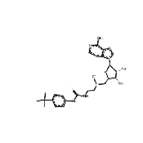 CC(C)(C)c1ccc(NC(=O)NCC[S+]([O-])C[C@H]2O[C@@H](n3cnc4c(N)ncnc43)[C@H](O)[C@@H]2O)cc1